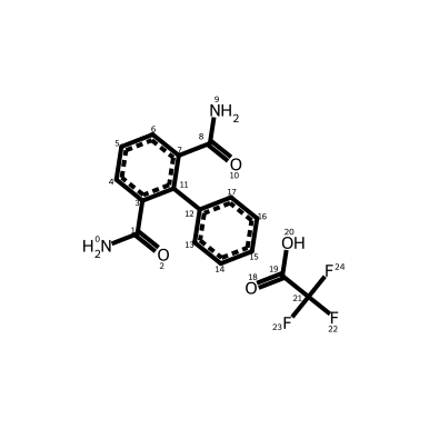 NC(=O)c1cccc(C(N)=O)c1-c1ccccc1.O=C(O)C(F)(F)F